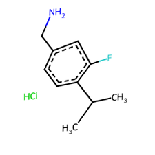 CC(C)c1ccc(CN)cc1F.Cl